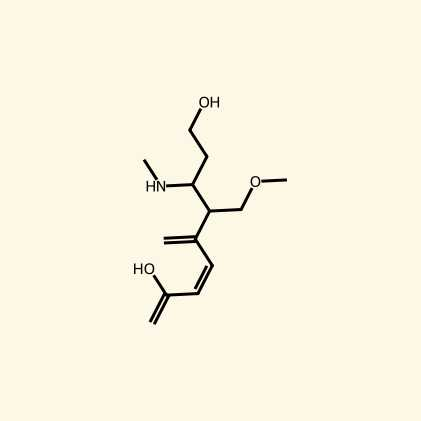 C=C(O)/C=C\C(=C)C(COC)C(CCO)NC